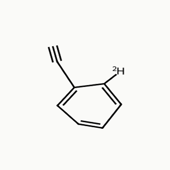 [2H]c1ccccc1C#C